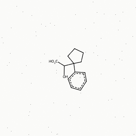 O=C(O)C(O)C1(c2ccccc2)CCCC1